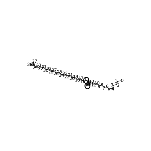 CCCC/C=C\CCCCCCCC(=O)OCCCCCCCCCCCCCCCCCCCC(C)C